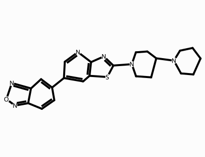 c1cc2nonc2cc1-c1cnc2nc(N3CCC(N4CCCCC4)CC3)sc2c1